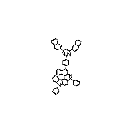 c1ccc(-c2nc3cc(-c4ccc(-c5nc(-c6ccc7ccccc7c6)cc(-c6ccc7ccccc7c6)n5)cc4)c4ccccc4c3c3c2ccc2c3c3ccccc3n2-c2ccccc2)cc1